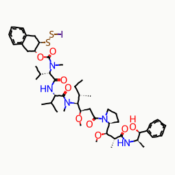 CC[C@H](C)[C@@H]([C@@H](CC(=O)N1CCC[C@H]1[C@H](OC)[C@@H](C)C(=O)N[C@H](C)[C@@H](O)c1ccccc1)OC)N(C)C(=O)[C@@H](NC(=O)[C@H](C(C)C)N(C)C(=O)O[C@@H]1Cc2ccccc2C[C@H]1SSI)C(C)C